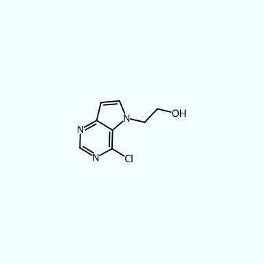 OCCn1ccc2ncnc(Cl)c21